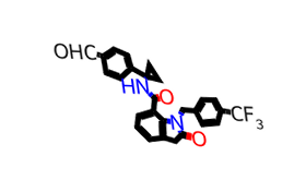 O=Cc1ccc(C2(NC(=O)c3cccc4c3N(Cc3ccc(C(F)(F)F)cc3)C(=O)C4)CC2)cc1